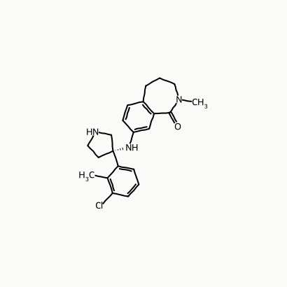 Cc1c(Cl)cccc1[C@@]1(Nc2ccc3c(c2)C(=O)N(C)CCC3)CCNC1